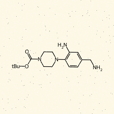 CC(C)(C)OC(=O)N1CCN(c2ccc(CN)cc2N)CC1